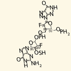 Nc1nc2c(ncn2[C@@H]2OC(OPOC[C@H]3[C@H](F)[C@H](n4nnc5c(=O)[nH]cnc54)O[C@@H]3COP)[C@@H](F)[C@H]2OS)c(=O)[nH]1